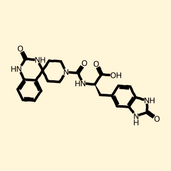 O=C1Nc2ccccc2C2(CCN(C(=O)N[C@H](Cc3ccc4[nH]c(=O)[nH]c4c3)C(=O)O)CC2)N1